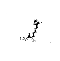 CCOC(=O)C(=O)N(CCCOCc1cncs1)C(C)(C)C